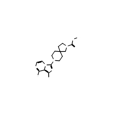 CC(C)(C)OC(=O)N1CCC2(CCN(c3nc(Br)c4c(N)nccn34)CC2)C1